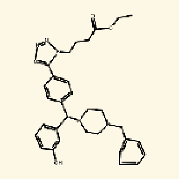 CCOC(=O)CCCn1nnnc1-c1ccc([C@H](c2cccc(O)c2)N2CCN(Cc3ccccc3)CC2)cc1